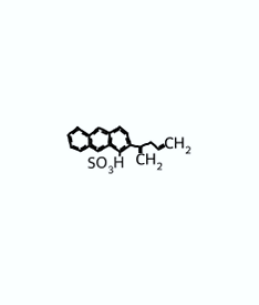 C=CCC(=C)c1ccc2cc3ccccc3cc2c1S(=O)(=O)O